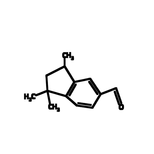 CC1CC(C)(C)c2ccc(C=O)cc21